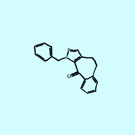 O=C1c2ccccc2CCc2cnn(Cc3ccccc3)c21